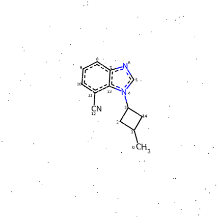 CC1CC(n2cnc3cccc(C#N)c32)C1